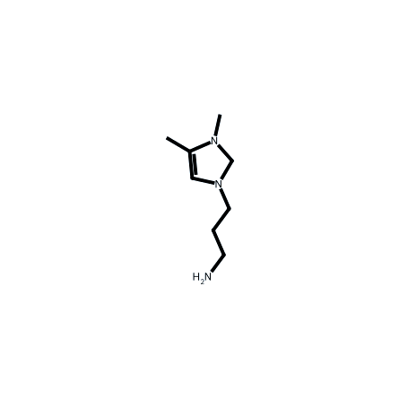 CC1=CN(CCCN)CN1C